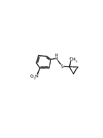 CC1(SNc2cccc([N+](=O)[O-])c2)CC1